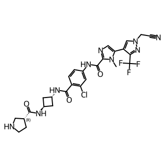 Cn1c(-c2cn(CC#N)nc2C(F)(F)F)cnc1C(=O)Nc1ccc(C(=O)N[C@H]2C[C@H](NC(=O)[C@@H]3CCNC3)C2)c(Cl)c1